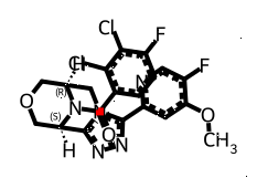 COc1cc(-c2nnc3n2C[C@@H]2COC[C@H]3N2C(=O)c2ccc(F)c(Cl)c2Cl)ncc1F